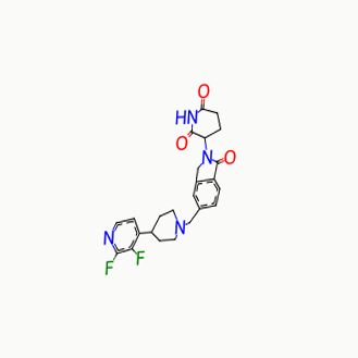 O=C1CCC(N2Cc3cc(CN4CCC(c5ccnc(F)c5F)CC4)ccc3C2=O)C(=O)N1